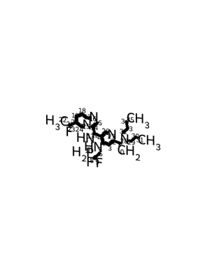 C=C(c1cc(NCC(F)(F)P)c(C(=N)c2cnc3ccc(C(C)F)cn23)cn1)N(CCC)CCCC